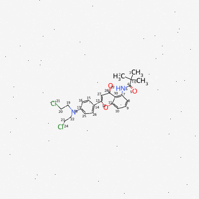 CC(C)(C)C(=O)Nc1cccc2oc(-c3ccc(N(CCCl)CCCl)cc3)cc(=O)c12